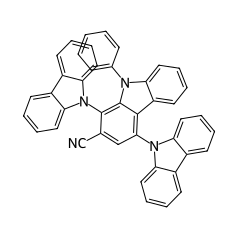 N#Cc1cc(-n2c3ccccc3c3ccccc32)c2c3ccccc3n(-c3ccccc3)c2c1-n1c2ccccc2c2ccccc21